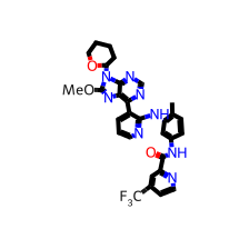 COc1nc2c(-c3cccnc3Nc3cc(NC(=O)c4cc(C(F)(F)F)ccn4)ccc3C)ncnc2n1C1CCCCO1